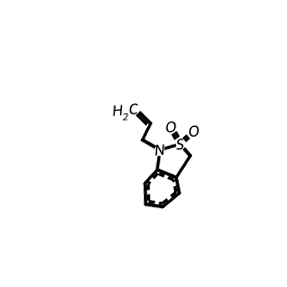 C=CCN1c2ccccc2CS1(=O)=O